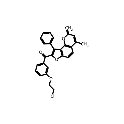 C=C1C=C(C)c2ccc3oc(C(=O)c4cccc(OCCCl)c4)c(-c4ccccc4)c3c2O1